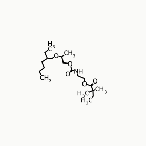 CCCCC(CC)COC(C)COC(=O)NCCOC(=O)C(C)(C)CC